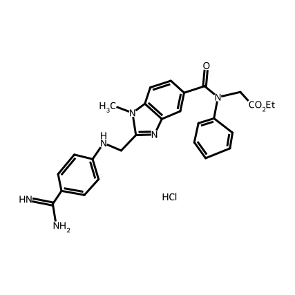 CCOC(=O)CN(C(=O)c1ccc2c(c1)nc(CNc1ccc(C(=N)N)cc1)n2C)c1ccccc1.Cl